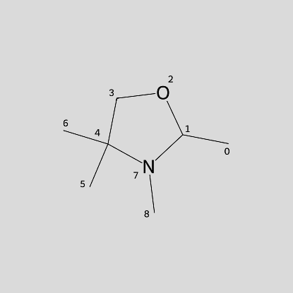 CC1OCC(C)(C)N1C